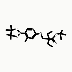 CCC(CC)(COc1cc(C)c(B2OC(C)(C)C(C)(C)O2)cn1)C(=O)OC(C)(C)C